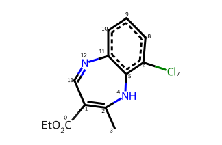 CCOC(=O)C1=C(C)Nc2c(Cl)cccc2N=C1